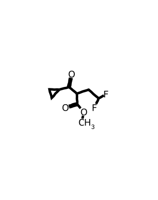 COC(=O)C(CC(F)F)C(=O)C1CC1